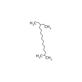 CCC(CC)CCCCCCCCCCC(C)C